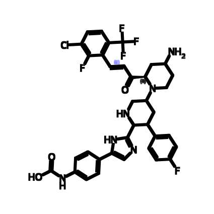 NC1CCN(C2CNC(c3ncc(-c4ccc(NC(=O)O)cc4)[nH]3)C(c3ccc(F)cc3)C2)[C@@H](C(=O)/C=C/c2c(C(F)(F)F)ccc(Cl)c2F)C1